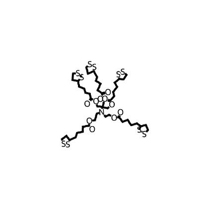 O=C(CCCCC1CCSS1)OCCN(CCOC(=O)CCCCC1CCSS1)C(COC(=O)CCCCC1CCSS1)(COC(=O)CCCCC1CCSS1)COC(=O)CCCCC1CCSS1